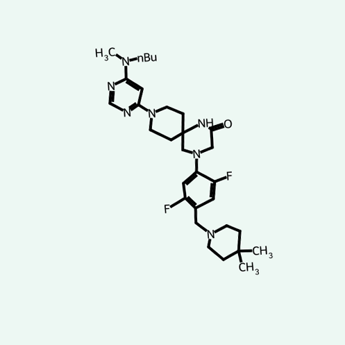 CCCCN(C)c1cc(N2CCC3(CC2)CN(c2cc(F)c(CN4CCC(C)(C)CC4)cc2F)CC(=O)N3)ncn1